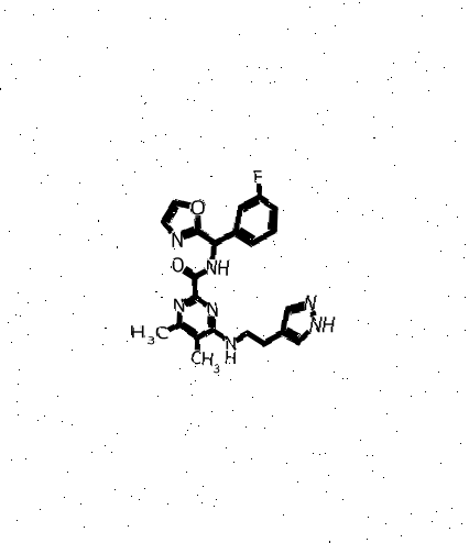 Cc1nc(C(=O)NC(c2cccc(F)c2)c2ncco2)nc(NCCc2cn[nH]c2)c1C